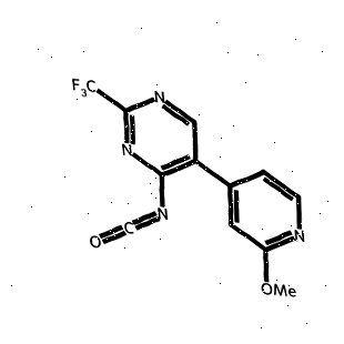 COc1cc(-c2cnc(C(F)(F)F)nc2N=C=O)ccn1